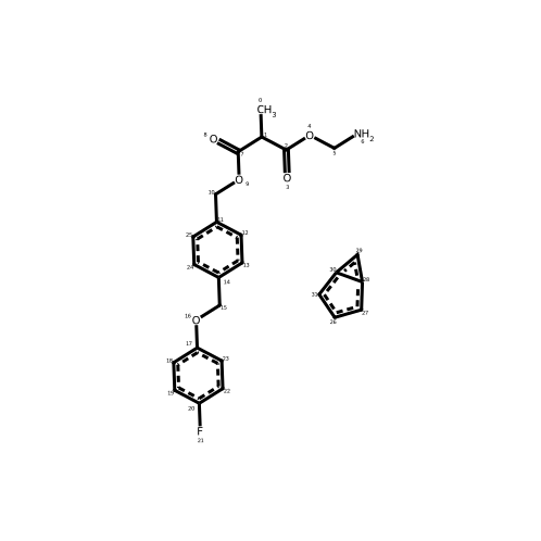 CC(C(=O)OCN)C(=O)OCc1ccc(COc2ccc(F)cc2)cc1.c1cc2cc-2c1